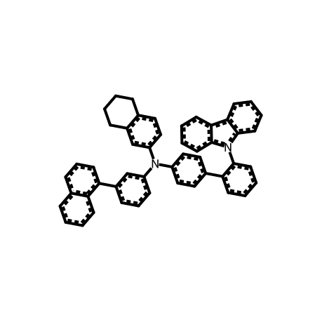 c1cc(-c2cccc3ccccc23)cc(N(c2ccc(-c3ccccc3-n3c4ccccc4c4ccccc43)cc2)c2ccc3c(c2)CCCC3)c1